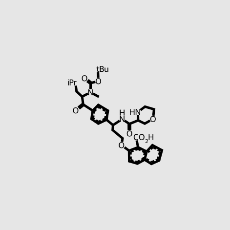 CC(C)CC(C(=O)c1ccc(C(CCOc2ccc3ccccc3c2C(=O)O)NC(=O)C2COCCN2)cc1)N(C)C(=O)OC(C)(C)C